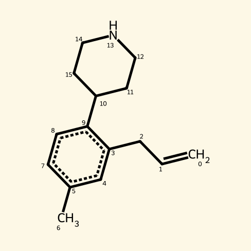 C=CCc1cc(C)ccc1C1CCNCC1